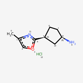 Cc1coc([C@H]2CC[C@@H](N)C2)n1.Cl